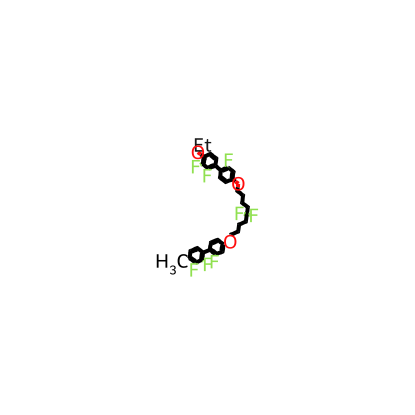 CCOc1ccc(-c2ccc(OCCCCC(F)(F)CCCCOc3ccc(-c4ccc(C)c(F)c4F)c(F)c3)cc2F)c(F)c1F